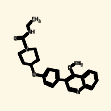 CCNC(=O)N1CCC(Oc2ccc(-c3cnc4ccccc4c3OC)cc2)CC1